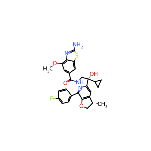 COc1cc(C(=O)NC[C@](O)(c2cc3c(c(-c4ccc(F)cc4)n2)OC[C@H]3C)C2CC2)cc2sc(N)nc12